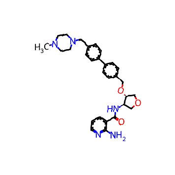 CN1CCN(Cc2ccc(-c3ccc(CO[C@@H]4COC[C@H]4NC(=O)c4cccnc4N)cc3)cc2)CC1